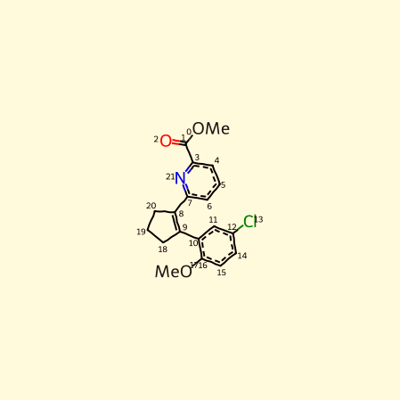 COC(=O)c1cccc(C2=C(c3cc(Cl)ccc3OC)CCC2)n1